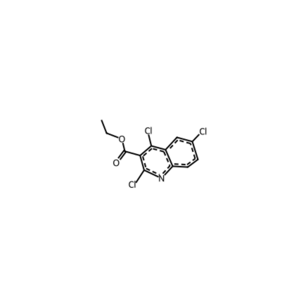 CCOC(=O)c1c(Cl)nc2ccc(Cl)cc2c1Cl